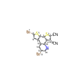 N#Cc1sc2c3sc(Br)cc3c3cc(Br)cnc3c2c1C#N